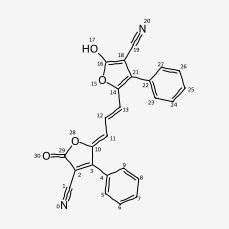 N#CC1=C(c2ccccc2)/C(=C/C=C/c2oc(O)c(C#N)c2-c2ccccc2)OC1=O